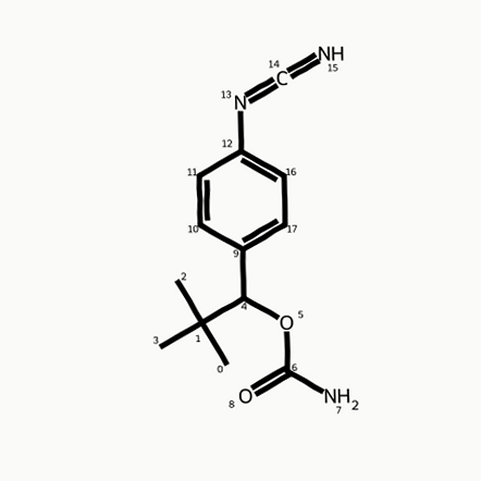 CC(C)(C)C(OC(N)=O)c1ccc(N=C=N)cc1